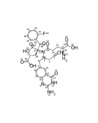 C#CCN(Cc1ccc2nc(N)[nH]c(=O)c2c1)N(C(=O)CC[C@H](N)C(=O)O)[C@](CCC(=O)O)(C(=O)O)C(=O)c1ccccc1F